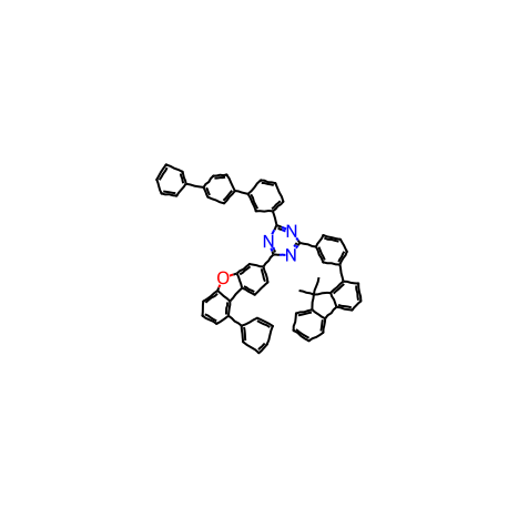 CC1(C)c2ccccc2-c2cccc(-c3cccc(-c4nc(-c5cccc(-c6ccc(-c7ccccc7)cc6)c5)nc(-c5ccc6c(c5)oc5cccc(-c7ccccc7)c56)n4)c3)c21